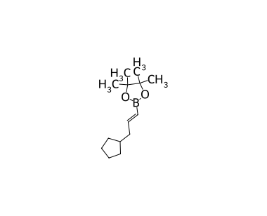 CC1(C)OB(C=CCC2CCCC2)OC1(C)C